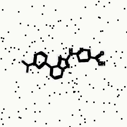 CC(C)c1cccc(-c2cccn3nc(Nc4ccc(C(=O)O)cn4)nc23)c1